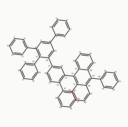 c1ccc(-c2cc(-c3ccccc3)c(-c3ccccc3)c(-c3ccc(-c4ccccc4)c(-c4c5ccccc5c(-c5ccccc5)c5ccccc45)c3)c2)cc1